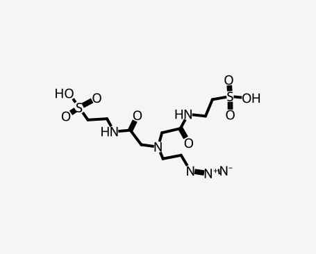 [N-]=[N+]=NCCN(CC(=O)NCCS(=O)(=O)O)CC(=O)NCCS(=O)(=O)O